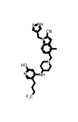 Cc1c(CN2CCC(Nc3cc(O)ncc3CCCC(F)(F)F)CC2)ccc2c1cc(C#N)n2Cc1cn[nH]c1